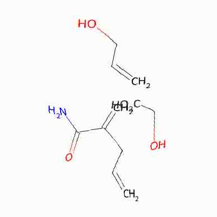 C=CCC(=C)C(N)=O.C=CCO.O=C(O)CO